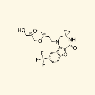 O=C1NC2(CC2)CN(CC[C@@H]2CO[C@H](CO)CO2)c2c1oc1ccc(C(F)(F)F)cc21